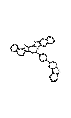 c1ccc2cc3c(cc2c1)nc1c2sc4c5ccccc5ccc4c2cc(-c2ccc(-c4ccc5sc6ccccc6c5c4)cc2)n31